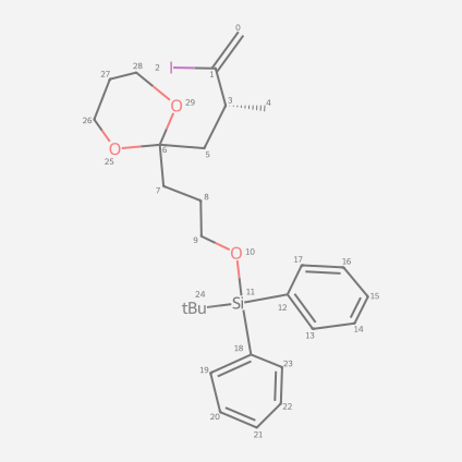 C=C(I)[C@H](C)CC1(CCCO[Si](c2ccccc2)(c2ccccc2)C(C)(C)C)OCCCO1